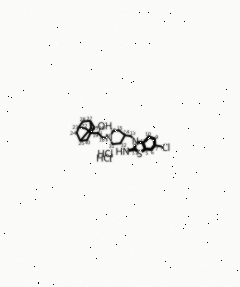 Cl.Cl.N=c1sc2cc(Cl)ccc2n1CC1CCN(C[C@@H](O)C23CC4CC(CC(C4)C2)C3)CC1